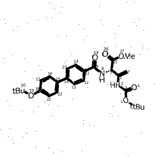 C=C(NC(=O)OC(C)(C)C)[C@H](NC(=O)c1ccc(-c2ccc(OC(C)(C)C)cc2)cc1)C(=O)OC